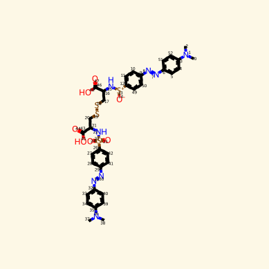 CN(C)c1ccc(/N=N/c2ccc([S+]([O-])NC(CSSCC(NS(=O)(=O)c3ccc(/N=N/c4ccc(N(C)C)cc4)cc3)C(=O)O)C(=O)O)cc2)cc1